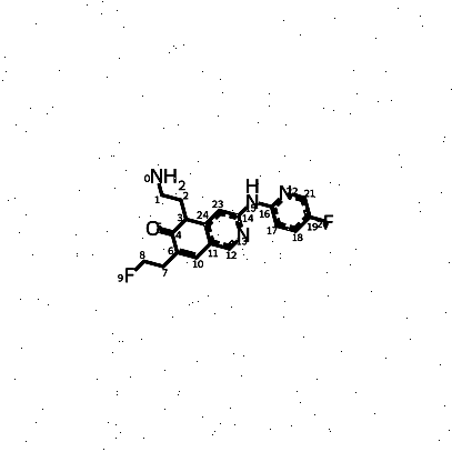 NCCC1C(=O)C(CCF)=Cc2cnc(Nc3ccc(F)cn3)cc21